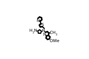 COc1ccc2nc(N(Cc3ccc(-c4ccccn4)s3)[C@H]3CC[C@H](N)C3)cc(C)c2c1